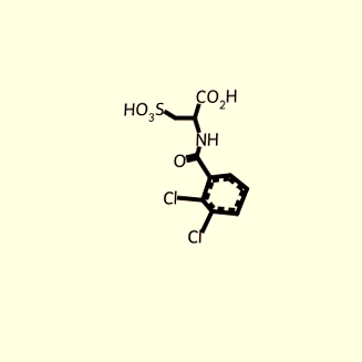 O=C(NC(CS(=O)(=O)O)C(=O)O)c1cccc(Cl)c1Cl